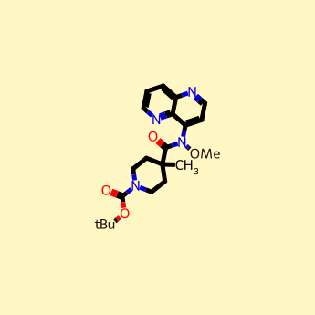 CON(C(=O)C1(C)CCN(C(=O)OC(C)(C)C)CC1)c1ccnc2cccnc12